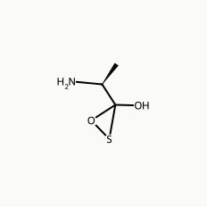 C[C@H](N)C1(O)OS1